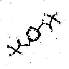 O=C(Nc1ccc(NC(=O)C(Br)(Br)Br)cc1)C(Br)(Br)Br